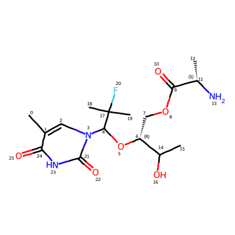 Cc1cn(C(O[C@H](COC(=O)[C@H](C)N)C(C)O)C(C)(C)F)c(=O)[nH]c1=O